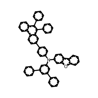 c1ccc(-c2cc(-c3ccccc3)cc(N(c3ccc(-c4ccc5c(c4)c(-c4ccccc4)c(-c4ccccc4)c4ccccc45)cc3)c3ccc4c(c3)oc3ccccc34)c2)cc1